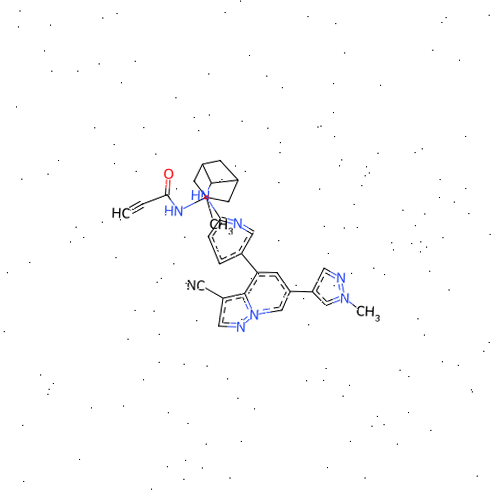 C#CC(=O)NC1(C)CC2CC(C1)C2Nc1ccc(-c2cc(-c3cnn(C)c3)cn3ncc(C#N)c23)cn1